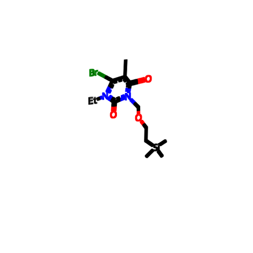 CCn1c(Br)c(C)c(=O)n(COCC[Si](C)(C)C)c1=O